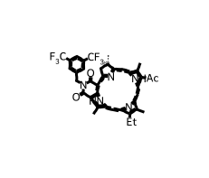 CCC1=C(C)c2cc3[nH]c(cc4nc(c5c6[nH]c(cc1n2)c(C)c6C(=O)N(Cc1cc(C(F)(F)F)cc(C(F)(F)F)c1)C5=O)C[C@@H]4C)c(C)c3C(C)=O